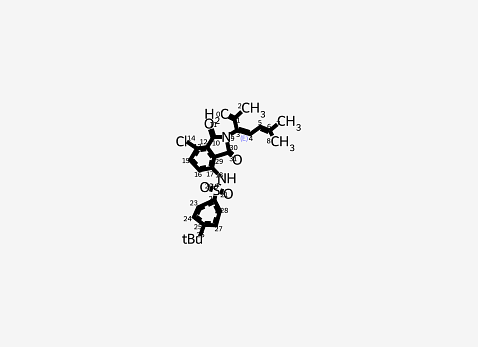 C=C(C)/C(=C\C=C(C)C)N1C(=O)c2c(Cl)ccc(NS(=O)(=O)c3ccc(C(C)(C)C)cc3)c2C1=O